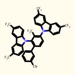 N#Cc1cccc(-c2ccc(-n3c4ccc(C(F)(F)F)cc4c4cc(C(F)(F)F)ccc43)c(C(F)(F)F)c2-n2c3ccc(C(F)(F)F)cc3c3cc(C(F)(F)F)ccc32)c1